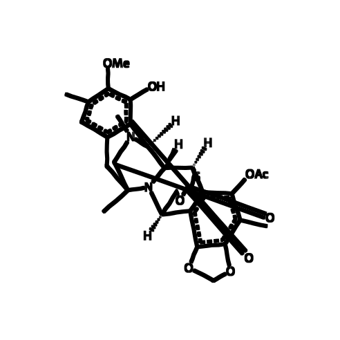 COc1c(C)cc2c(c1O)[C@H]1[C@@H]3[C@@H]4SCC(=O)C(=O)OC[C@@H](c5c6c(c(C)c(OC(C)=O)c54)OCO6)N3C(C)(C2)CN1C